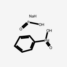 O=PO.O=[PH](O)c1ccccc1.[NaH]